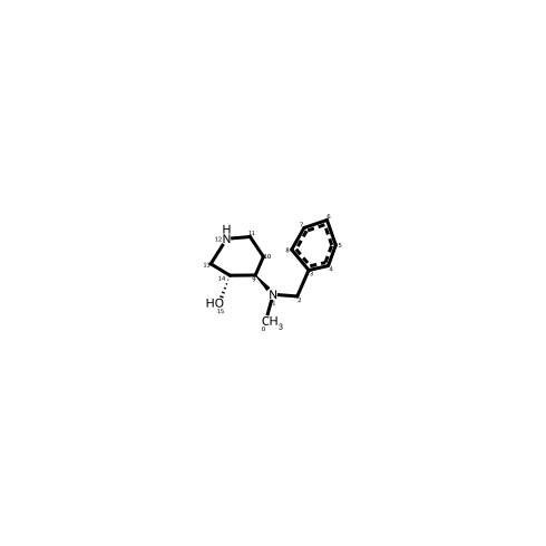 CN(Cc1ccccc1)[C@@H]1CCNC[C@H]1O